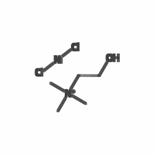 C[N+](C)(C)CCO.[Cl][Ni][Cl]